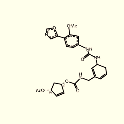 COc1cc(NC(=O)NC2C=C(CNC(=O)O[C@@H]3C=C[C@H](OC(C)=O)C3)C=CC2)ccc1-c1cnco1